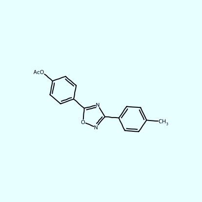 CC(=O)Oc1ccc(-c2nc(-c3ccc(C)cc3)no2)cc1